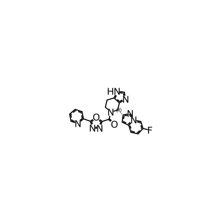 O=C(c1nnc(-c2ccccn2)o1)N1CCc2[nH]cnc2[C@@H]1c1cc2ccc(F)cn2n1